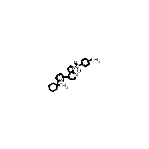 Cc1ccc(S(=O)(=O)n2ccc3c(-c4cccc(C5(C)CCCCC5)n4)ccnc32)cc1